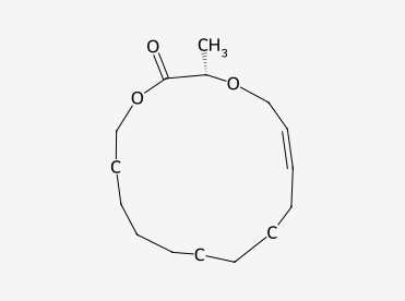 C[C@@H]1OC/C=C\CCCCCCCCCOC1=O